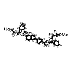 COC(=O)NC(C(=O)N1C2CCCC(C2)C1c1ncc(-c2ccc(-c3ccc4c(ccc5nc([C@@H]6C[Si](C)(C)CCN6C(=O)C(NC(=O)CO)C(C)C)[nH]c54)c3)cc2)[nH]1)C(C)C